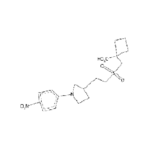 O=C(O)C1(CS(=O)(=O)CCC2CCN(c3ccc([N+](=O)[O-])cc3)C2)CCC1